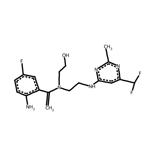 C=C(c1cc(F)ccc1N)N(CCO)CCNc1cc(C(F)F)nc(C)n1